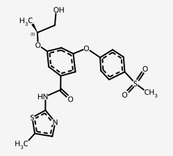 Cc1cnc(NC(=O)c2cc(Oc3ccc(S(C)(=O)=O)cc3)cc(O[C@@H](C)CO)c2)s1